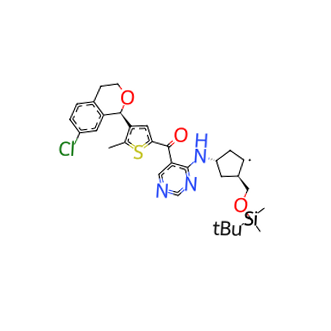 Cc1sc(C(=O)c2cncnc2N[C@@H]2C[CH][C@@H](CO[Si](C)(C)C(C)(C)C)C2)cc1[C@@H]1OCCc2ccc(Cl)cc21